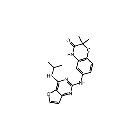 CC(C)Nc1nc(Nc2ccc3c(c2)NC(=O)C(C)(C)O3)nc2ccoc12